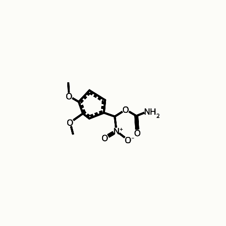 COc1ccc(C(OC(N)=O)[N+](=O)[O-])cc1OC